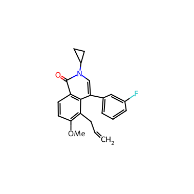 C=CCc1c(OC)ccc2c(=O)n(C3CC3)cc(-c3cccc(F)c3)c12